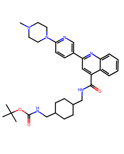 CN1CCN(c2ccc(-c3cc(C(=O)NCC4CCC(CNC(=O)OC(C)(C)C)CC4)c4ccccc4n3)cn2)CC1